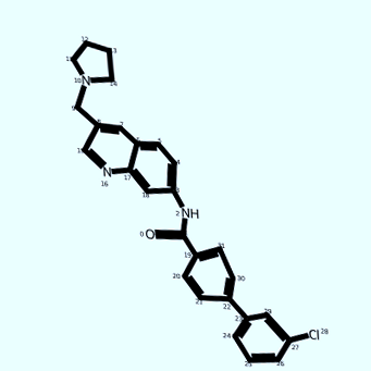 O=C(Nc1ccc2cc(CN3CCCC3)cnc2c1)c1ccc(-c2cccc(Cl)c2)cc1